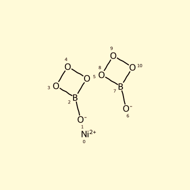 [Ni+2].[O-]B1OOO1.[O-]B1OOO1